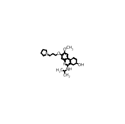 COc1cc2c3c(c(NC(C)C)nc2cc1OCCCN1CCCC1)CC(O)CC3